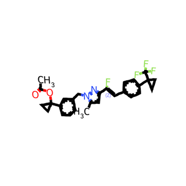 CC(=O)OC1(c2cccc(Cn3nc(/C(F)=C/c4ccc(C5(C(F)(F)F)CC5)cc4)cc3C)c2)CC1